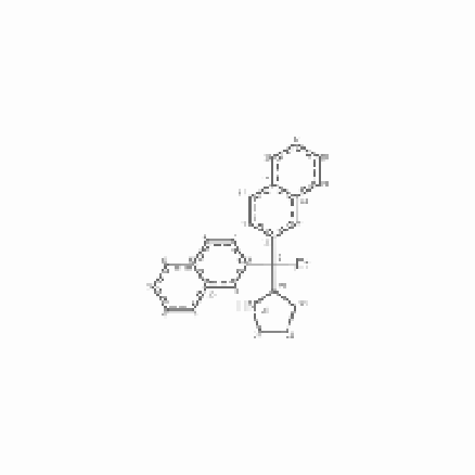 CCC(c1ccc2ccccc2c1)(c1ccc2ccccc2c1)C1CCCN1